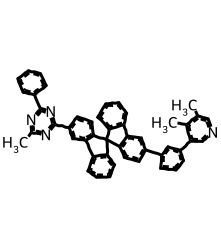 Cc1nc(-c2ccccc2)nc(-c2ccc3c(c2)-c2ccccc2C32c3ccccc3-c3cc(-c4cccc(-c5cncc(C)c5C)c4)ccc32)n1